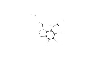 CCOCCN1CCc2c(C)c([N+](=O)[O-])c(C)c(NC(=O)C(C)(C)C)c21